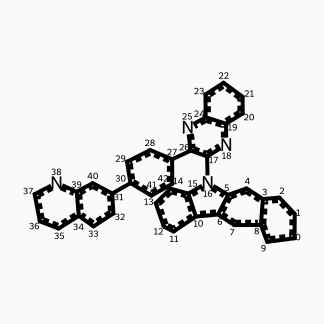 c1ccc2cc3c(cc2c1)c1ccccc1n3-c1nc2ccccc2nc1-c1ccc(-c2ccc3cccnc3c2)cc1